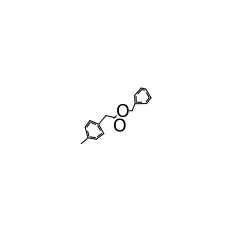 Cc1ccc(CC(=O)OCc2ccccc2)cc1